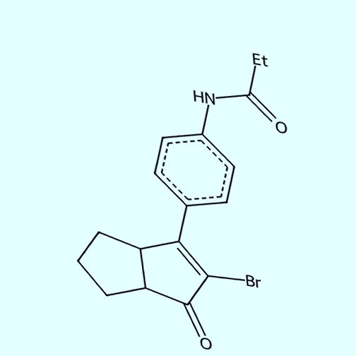 CCC(=O)Nc1ccc(C2=C(Br)C(=O)C3CCCC23)cc1